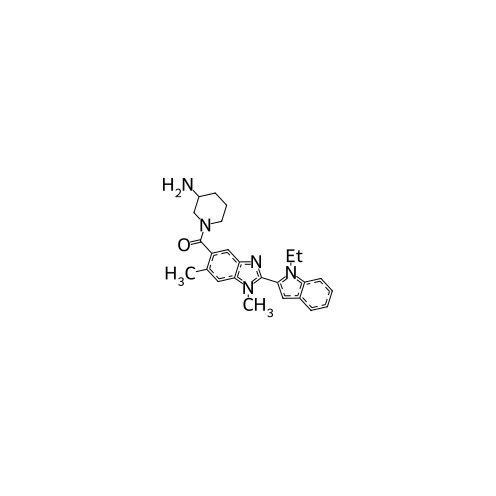 CCn1c(-c2nc3cc(C(=O)N4CCCC(N)C4)c(C)cc3n2C)cc2ccccc21